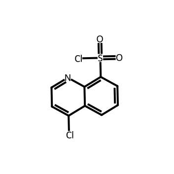 O=S(=O)(Cl)c1cccc2c(Cl)ccnc12